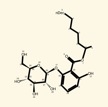 CCCCCCCCCCCCCCC(C)OC(=O)c1c(O)cccc1O[C@@H]1O[C@H](CO)[C@@H](O)[C@H](O)[C@H]1O